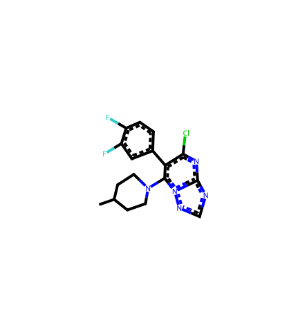 CC1CCN(c2c(-c3ccc(F)c(F)c3)c(Cl)nc3ncnn23)CC1